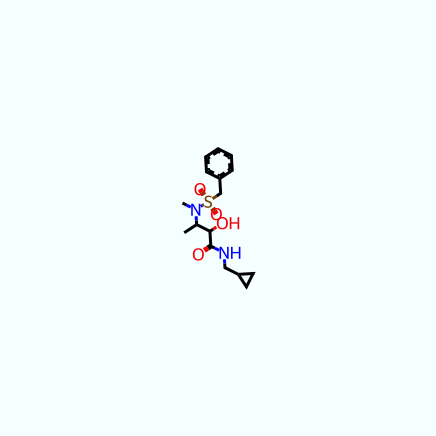 CC(C(O)C(=O)NCC1CC1)N(C)S(=O)(=O)Cc1ccccc1